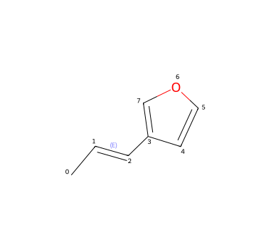 C/C=C/c1ccoc1